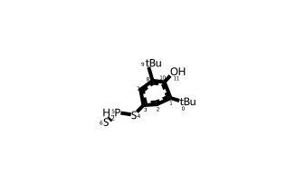 CC(C)(C)c1cc(S[PH2]=S)cc(C(C)(C)C)c1O